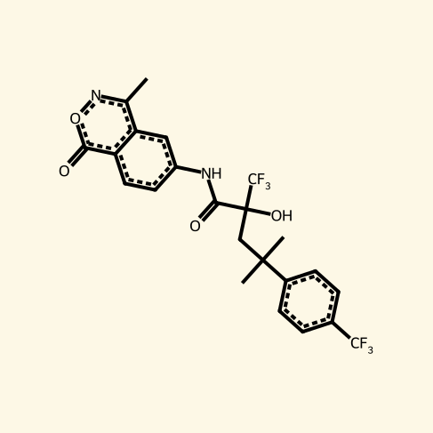 Cc1noc(=O)c2ccc(NC(=O)C(O)(CC(C)(C)c3ccc(C(F)(F)F)cc3)C(F)(F)F)cc12